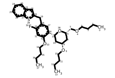 CCCCOC[C@@H]1C[C@H](OCCCC)C[C@H](c2cc(Cc3cc4ccccc4s3)c(F)cc2OCCCC)O1